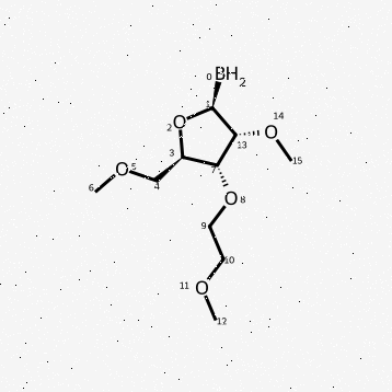 B[C@@H]1O[C@H](COC)[C@@H](OCCOC)[C@H]1OC